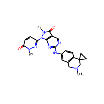 CCn1c(=O)c2cnc(Nc3ccc4c(c3)CN(C)CC43CC3)nc2n1-c1ccc(=O)n(C(C)C)n1